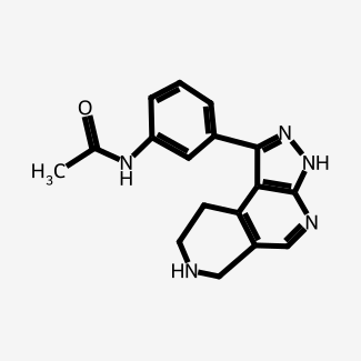 CC(=O)Nc1cccc(-c2n[nH]c3ncc4c(c23)CCNC4)c1